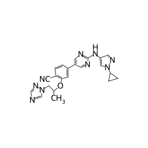 CC(Cn1cncn1)Oc1cc(-c2cnc(Nc3cnn(C4CC4)c3)nc2)ccc1C#N